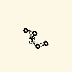 O=C(NNc1cccc(OCc2ccccc2)c1)c1csc(-c2ccccc2OCc2ccccc2)n1